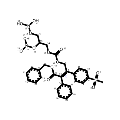 CS(=O)(=O)c1ccc(/C(COC(=O)OCC(CON(O)O)ON(O)O)=C(/C(=O)OCc2ccccc2)c2ccccc2)cc1